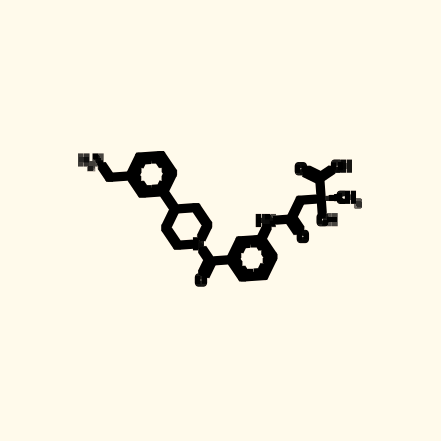 C[C@](O)(CC(=O)Nc1cccc(C(=O)N2CCC(c3cccc(CN)c3)CC2)c1)C(=O)O